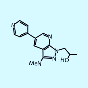 CNc1nn(CC(C)O)c2ncc(-c3ccncc3)cc12